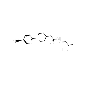 CC(N)CONC(=O)CC1CCN(c2ccc(C#N)cn2)CC1